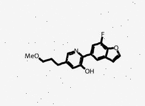 COCCCc1cnc(-c2cc(F)c3occc3c2)c(O)c1